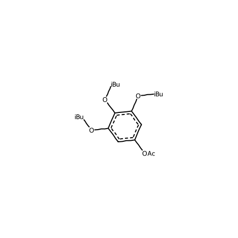 CCC(C)Oc1cc(OC(C)=O)cc(OC(C)CC)c1OC(C)CC